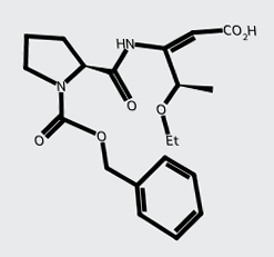 CCO[C@H](C)/C(=C\C(=O)O)NC(=O)[C@@H]1CCCN1C(=O)OCc1ccccc1